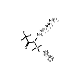 CN(C(=O)C(F)(F)F)[Si](C)(C)C.N.N.N.N.N.N.N.N.N.N.N